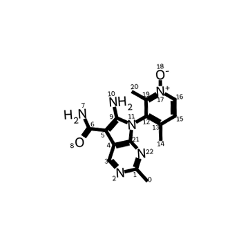 Cc1ncc2c(C(N)=O)c(N)n(-c3c(C)cc[n+]([O-])c3C)c2n1